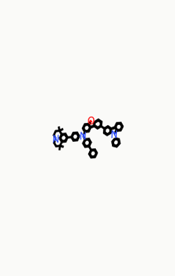 CC1(C)CCN2CCC(C)(C)c3cc(-c4ccc(N(c5ccc(-c6ccccc6)cc5)c5ccc6oc7ccc(-c8ccc9c(c8)c8ccccc8n9-c8ccccc8)cc7c6c5)cc4)cc1c32